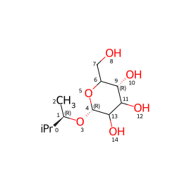 CC(C)[C@@H](C)O[C@@H]1OC(CO)[C@H](O)C(O)C1O